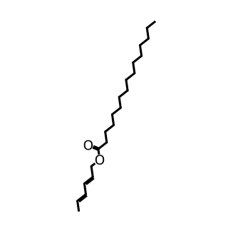 CC=CC=CCOC(=O)CCCCCCCCCCCCCCC